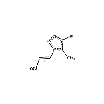 Cc1c(Br)csc1/C=C/C(C)(C)C